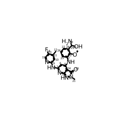 COc1c(Nc2cc(Nc3cc(C)c(F)cn3)nc3[nH]n(C)c(=O)c23)cccc1C(N)O